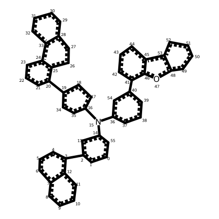 c1cc(-c2cccc3ccccc23)cc(N(c2ccc(-c3cccc4c3ccc3ccccc34)cc2)c2cccc(-c3cccc4c3oc3ccccc34)c2)c1